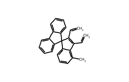 C=CC1=C(C=C)C2(c3ccccc3-c3ccccc32)c2cccc(C)c21